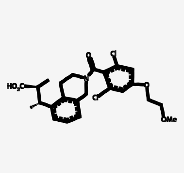 COCCOc1cc(Cl)c(C(=O)N2CCc3c(cccc3[C@H](C)[C@H](C)C(=O)O)C2)c(Cl)c1